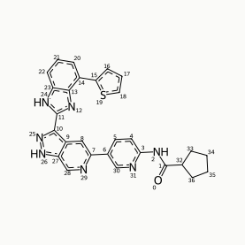 O=C(Nc1ccc(-c2cc3c(-c4nc5c(-c6cccs6)cccc5[nH]4)n[nH]c3cn2)cn1)C1CCCC1